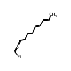 CC=CC=CCCCC=C=CCC